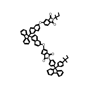 CCC(C)(C)c1ccc(C2(c3ccc(N4C(=O)c5ccc(Oc6ccc7cc(C8(c9ccc%10cc(Oc%11ccc%12c(c%11)C(=O)N(C(C)(C)CC)C%12=O)ccc%10c9)c9ccccc9-c9ccccc98)ccc7c6)cc5C4=O)cc3)c3ccccc3-c3ccccc32)cc1